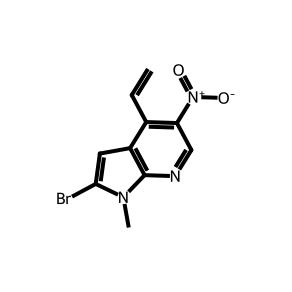 C=Cc1c([N+](=O)[O-])cnc2c1cc(Br)n2C